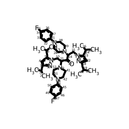 CC(C)c1cc(C(C)C)n(CC(C(=O)C(Cn2nc(C(C)C)cc2C(C)C)N2CCN(c3ccc(F)cc3)CC2)N2CCN(c3ccc(F)cc3)CC2)n1